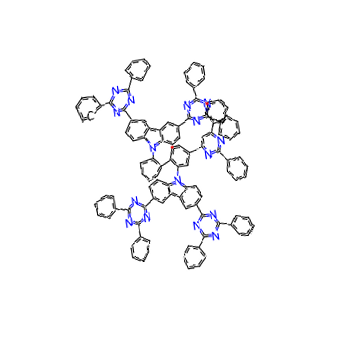 c1ccc(-c2cc(-c3ccc(-c4ccccc4-n4c5ccc(-c6nc(-c7ccccc7)nc(-c7ccccc7)n6)cc5c5cc(-c6nc(-c7ccccc7)nc(-c7ccccc7)n6)ccc54)c(-n4c5ccc(-c6nc(-c7ccccc7)nc(-c7ccccc7)n6)cc5c5cc(-c6nc(-c7ccccc7)nc(-c7ccccc7)n6)ccc54)c3)nc(-c3ccccc3)n2)cc1